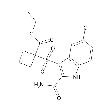 CCOC(=O)C1(S(=O)(=O)c2c(C(N)=O)[nH]c3ccc(Cl)cc23)CCC1